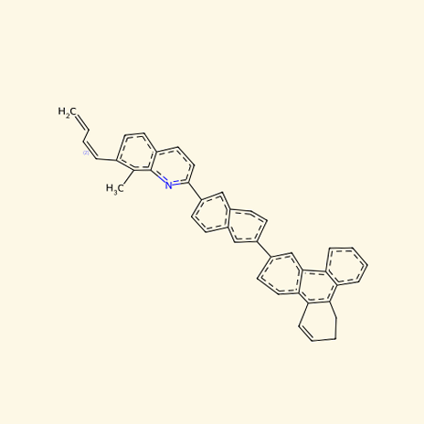 C=C/C=C\c1ccc2ccc(-c3ccc4cc(-c5ccc6c7c(c8ccccc8c6c5)CCC=C7)ccc4c3)nc2c1C